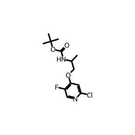 CC(COc1cc(Cl)ncc1F)NC(=O)OC(C)(C)C